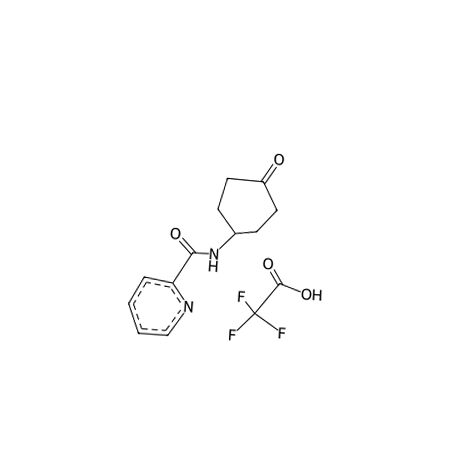 O=C(O)C(F)(F)F.O=C1CCC(NC(=O)c2ccccn2)CC1